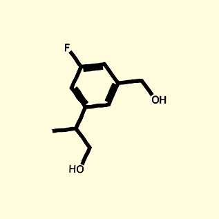 C[C](CO)c1cc(F)cc(CO)c1